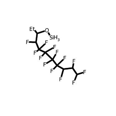 CCC(O[SiH3])C(F)C(F)(F)C(F)(F)C(F)(F)C(F)(F)C(F)C(F)C(F)F